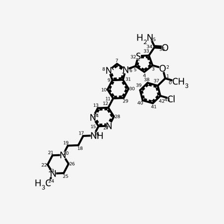 CC(Oc1cc(-n2cnc3cc(-c4cnc(NCCCN5CCN(C)CC5)nc4)ccc32)sc1C(N)=O)c1ccccc1Cl